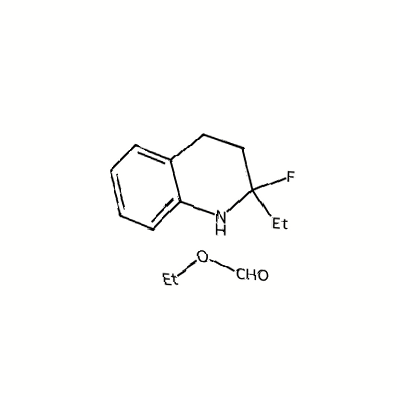 CCC1(F)CCc2ccccc2N1.CCOC=O